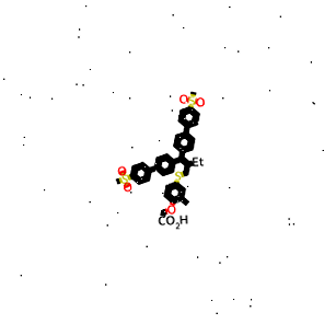 CCC(CSc1ccc(OCC(=O)O)c(C)c1)=C(c1ccc(-c2ccc(S(C)(=O)=O)cc2)cc1)c1ccc(-c2ccc(S(C)(=O)=O)cc2)cc1